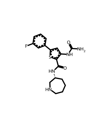 NC(=O)Nc1cc(-c2cccc(F)c2)sc1C(=O)N[C@@H]1CCCCNC1